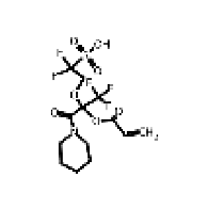 C=CC(=O)OC(OCC(F)(F)S(=O)(=O)O)(C(=O)N1CCCCC1)C(F)(F)F